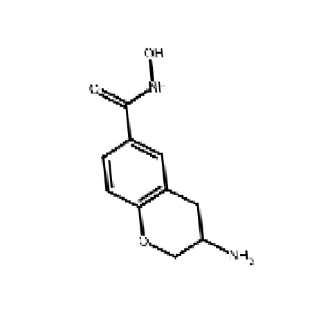 NC1COc2ccc(C(=O)NO)cc2C1